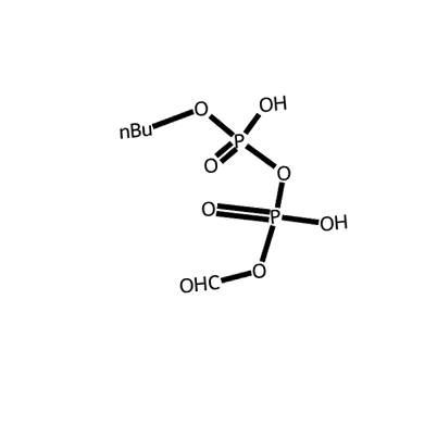 CCCCOP(=O)(O)OP(=O)(O)OC=O